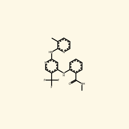 CNC(=O)c1ccccc1Nc1cc(Nc2ncccc2C)ncc1C(F)(F)F